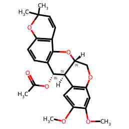 COc1cc2c(cc1OC)[C@H]1[C@H](OC(C)=O)c3ccc4c(c3O[C@@H]1CO2)C=CC(C)(C)O4